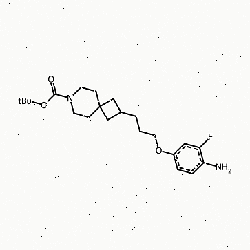 CC(C)(C)OC(=O)N1CCC2(CC1)CC(CCCOc1ccc(N)c(F)c1)C2